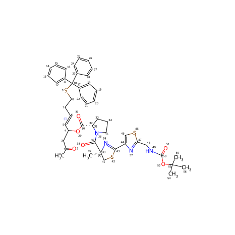 CC(=O)CC(/C=C/CCSC(c1ccccc1)(c1ccccc1)c1ccccc1)OC(=O)[C@@H]1CCCN1C(=O)[C@]1(C)CSC(c2csc(CNC(=O)OC(C)(C)C)n2)=N1